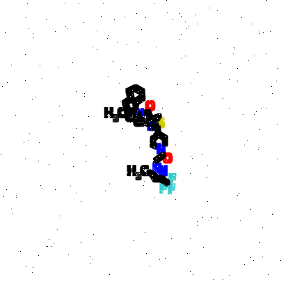 Cc1cc(C(F)(F)F)nn1CC(=O)N1CCC(c2nc(C(=O)N(C)C3c4ccccc4CC3(C)C)cs2)CC1